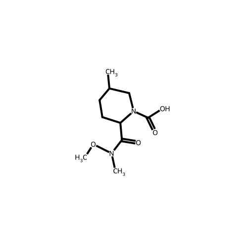 CON(C)C(=O)C1CCC(C)CN1C(=O)O